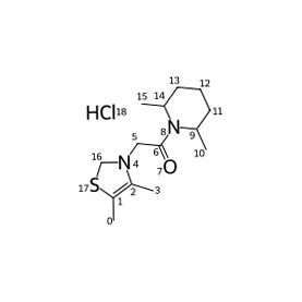 CC1=C(C)N(CC(=O)N2C(C)CCCC2C)CS1.Cl